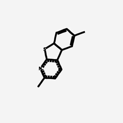 CC1=CC2c3ccc(C)nc3SC2C=C1